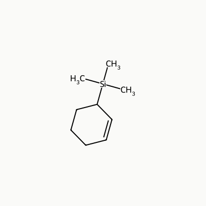 C[Si](C)(C)C1C=CCCC1